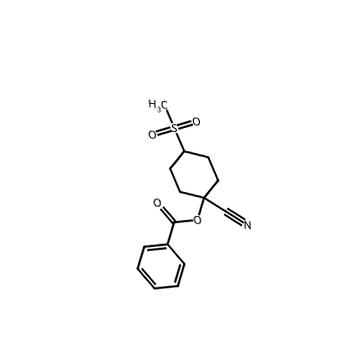 CS(=O)(=O)C1CCC(C#N)(OC(=O)c2ccccc2)CC1